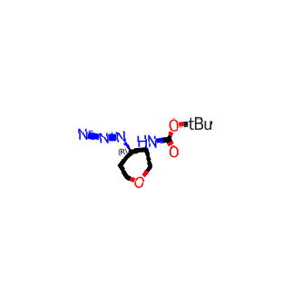 CC(C)(C)OC(=O)NC1COCC[C@H]1N=[N+]=[N-]